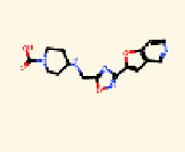 O=C(O)N1CCC(NCc2nc(-c3cc4cnccc4o3)no2)CC1